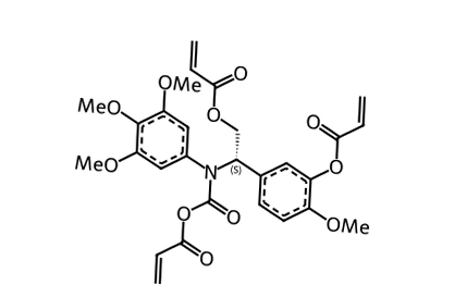 C=CC(=O)OC[C@H](c1ccc(OC)c(OC(=O)C=C)c1)N(C(=O)OC(=O)C=C)c1cc(OC)c(OC)c(OC)c1